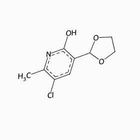 Cc1nc(O)c(C2OCCO2)cc1Cl